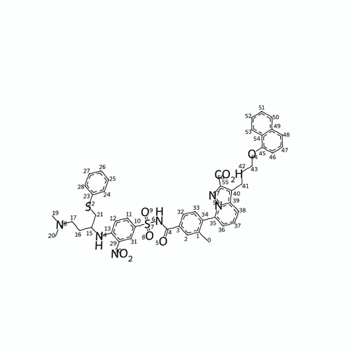 Cc1cc(C(=O)NS(=O)(=O)c2ccc(NC(CCN(C)C)CSc3ccccc3)c([N+](=O)[O-])c2)ccc1-c1cccc2c(CCCOc3cccc4ccccc34)c(C(=O)O)nn12